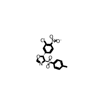 Cc1ccc(S(=O)(=O)[C@H]2N=CO[C@@H]2c2ccc([N+](=O)[O-])c(Cl)c2)cc1